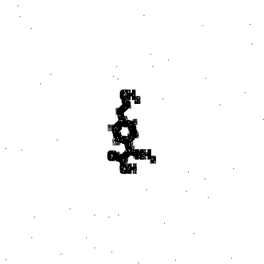 C=CCc1ccc(C(N)C(=O)O)cc1